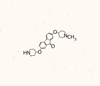 CN1CCC(Oc2ccc3c(c2)C(=O)c2cc(OC4CCNCC4)ccc2-3)CC1